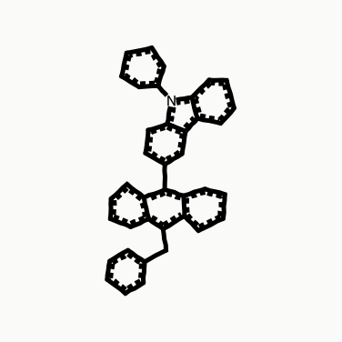 c1ccc(Cc2c3ccccc3c(-c3ccc4c(c3)c3ccccc3n4-c3ccccc3)c3ccccc23)cc1